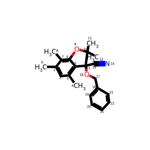 Cc1cc(C)c2c(c1C)OC(C)(C)C2(C#N)OCc1ccccc1